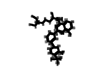 CCN(CC)CCCC(C)Nc1nc(-c2cccc(-c3ccc(C(F)(F)F)c(F)c3)c2)nc2c(C)cccc12